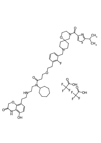 CC(C)c1nc(C(=O)N2CCOC3(CCN(Cc4cccc(CCOCCC(=O)N(CCNCCc5ccc(O)c6c5OCC(=O)N6)C5CCCCCC5)c4F)CC3)C2)cs1.O=C(O)C(F)(F)F.O=C(O)C(F)(F)F